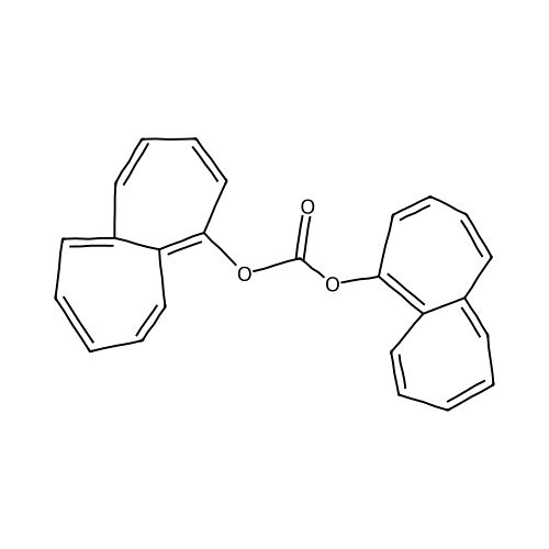 O=C(OC1=C2C=CC=CC=C2C=CC=C1)OC1=C2C=CC=CC=C2C=CC=C1